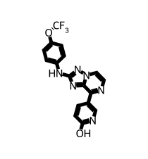 Oc1ccc(-c2nccn3nc(Nc4ccc(OC(F)(F)F)cc4)nc23)cn1